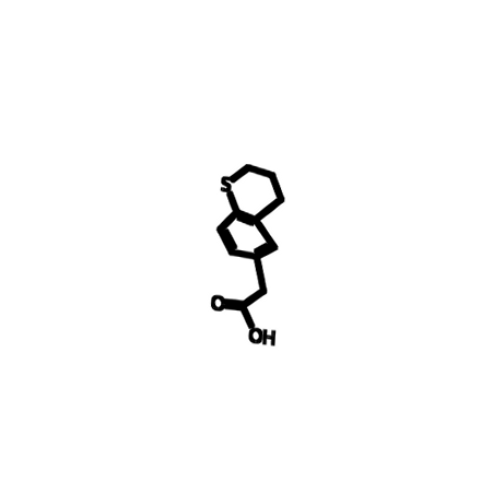 O=C(O)Cc1ccc2c(c1)CCCS2